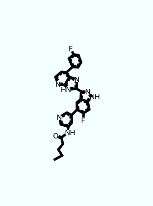 CCCCC(=O)Nc1cncc(-c2cc3c(-c4nc5c(-c6cccc(F)c6)ccnc5[nH]4)n[nH]c3cc2F)c1